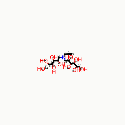 C#CCN(CC(O)C(O)C(O)C(O)CO)CC(O)C(O)C(O)C(O)CO